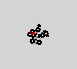 CC(C)(C)c1ccc(N2c3cc4ccccc4c4c3B(c3sc5cc6c(cc5c32)C(C)(C)CCC6(C)C)N2c3ccccc3Sc3cccc-4c32)c(-c2ccccc2)c1